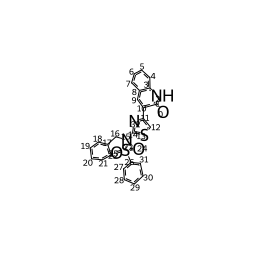 O=c1[nH]c2ccccc2cc1-c1csc(N(Cc2ccccc2)S(=O)(=O)c2ccccc2)n1